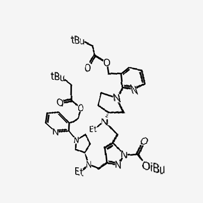 CCN(Cc1cc(CN(CC)[C@@H]2CCN(c3ncccc3COC(=O)CC(C)(C)C)C2)n(C(=O)OCC(C)C)n1)[C@@H]1CCN(c2ncccc2COC(=O)CC(C)(C)C)C1